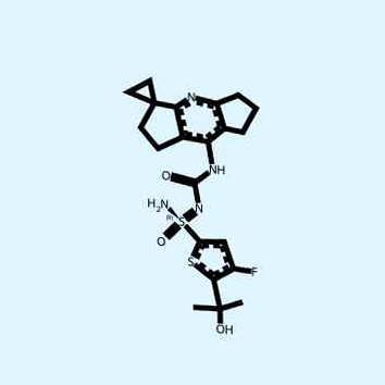 CC(C)(O)c1sc([S@](N)(=O)=NC(=O)Nc2c3c(nc4c2CCC42CC2)CCC3)cc1F